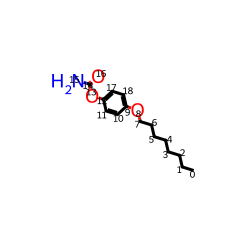 CCCCCCCCOc1ccc(OC(N)=O)cc1